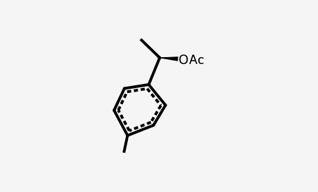 CC(=O)O[C@H](C)c1ccc(C)cc1